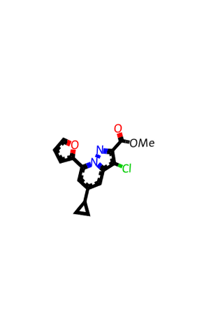 COC(=O)c1nn2c(-c3ccco3)cc(C3CC3)cc2c1Cl